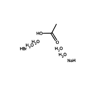 Br.CC(=O)O.O.O.O.O.[NaH]